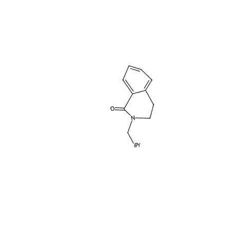 CC(C)CN1CCc2ccccc2C1=O